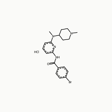 CN1CCC(N(C)c2cccc(NC(=O)c3ccc(Br)cc3)n2)CC1.Cl